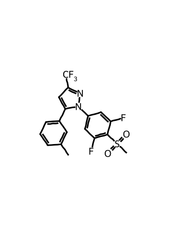 Cc1cccc(-c2cc(C(F)(F)F)nn2-c2cc(F)c(S(C)(=O)=O)c(F)c2)c1